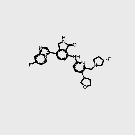 O=C1NCc2c(-c3cnc4cc(F)ccn34)ccc(Nc3ccc([C@H]4CCOC4)c(CN4CC[C@H](F)C4)n3)c21